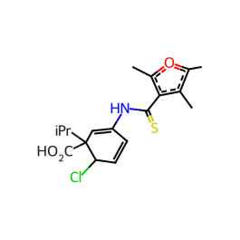 Cc1oc(C)c(C(=S)NC2=CC(C(=O)O)(C(C)C)C(Cl)C=C2)c1C